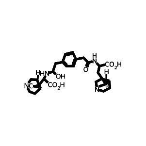 O=C(Cc1ccc(CC(O)NC(C(=O)O)[C@H]2CN3CCC2CC3)cc1)NC(C[C@H]1CN2CCC1CC2)C(=O)O